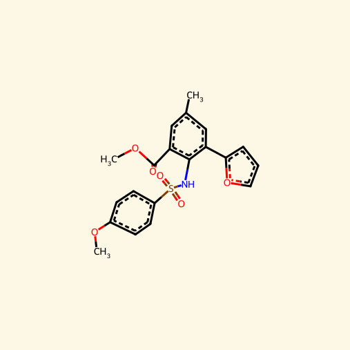 COC(=O)c1cc(C)cc(-c2ccco2)c1NS(=O)(=O)c1ccc(OC)cc1